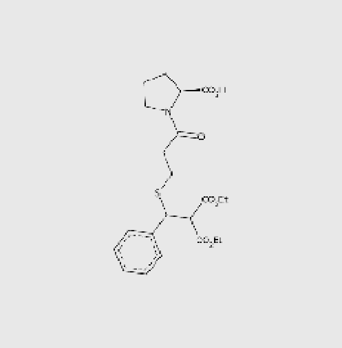 CCOC(=O)C(C(=O)OCC)C(SCCC(=O)N1CCC[C@H]1C(=O)O)c1ccccc1